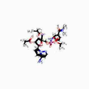 CC(C)OC(=O)[C@H](C)NP(=O)(OC[C@@]1(C#N)O[C@@H](c2ccc3c(N)ccnn23)[C@H](OC(=O)C(C)C)[C@@H]1OC(=O)C(C)C)Oc1ccc(C(=O)N(C)C)cc1